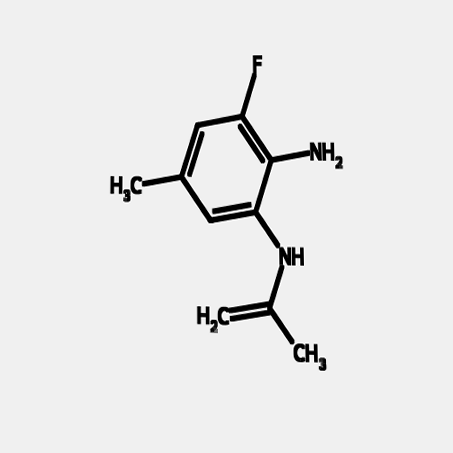 C=C(C)Nc1cc(C)cc(F)c1N